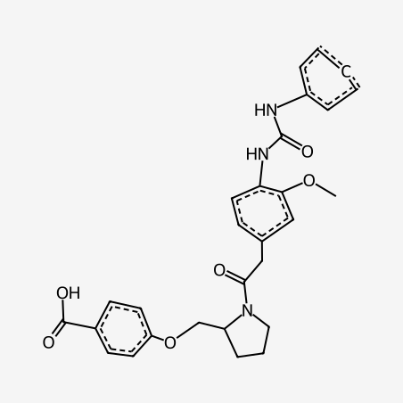 COc1cc(CC(=O)N2CCCC2COc2ccc(C(=O)O)cc2)ccc1NC(=O)Nc1ccccc1